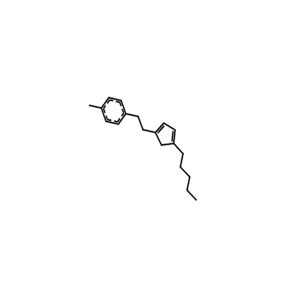 CCCCCC1=CC=C(CCc2ccc(C)cc2)C1